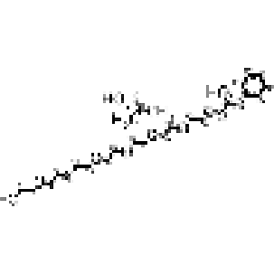 C=C(C)C(=O)O.OCCOCCOCCOCCOCCOCCOCCOCC(O)Oc1ccccc1